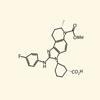 COC(=O)N1c2ccc3c(nc(Nc4ccc(F)cc4)n3[C@@H]3CCC[C@@H](C(=O)O)C3)c2CC[C@@H]1C